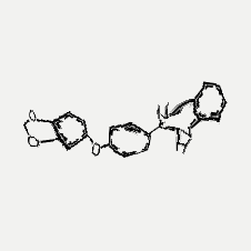 c1ccc2[nH]c(-c3ccc(Oc4ccc5c(c4)OCO5)cc3)nc2c1